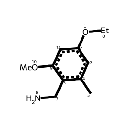 CCOc1cc(C)c(CN)c(OC)c1